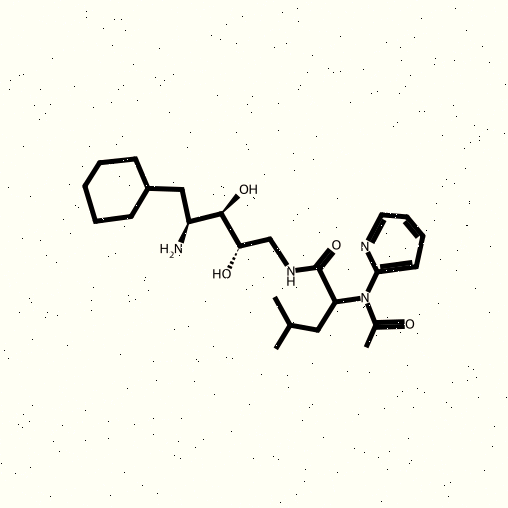 CC(=O)N(c1ccccn1)C(CC(C)C)C(=O)NC[C@H](O)[C@H](O)[C@@H](N)CC1CCCCC1